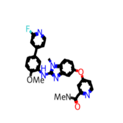 CNC(=O)c1cc(Oc2ccc3c(c2)nc(Nc2cc(-c4ccnc(F)c4)ccc2OC)n3C)ccn1